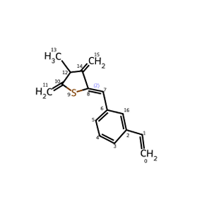 C=Cc1cccc(/C=C2\SC(=C)C(C)C2=C)c1